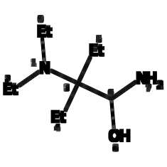 CCN(CC)C(CC)(CC)C(N)O